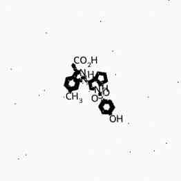 Cc1ccc2c(CC(=O)O)nn([C@H]3CN(S(=O)(=O)c4ccc(O)cc4)[C@@H]4CCC[C@@H]43)c2c1